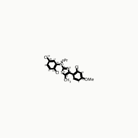 CCCN(c1nc(-c2ccc(OC)cc2Cl)c(C)s1)c1cc(Cl)ccc1Cl